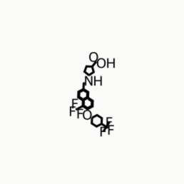 O=C(O)C1CCC(NCc2ccc3c(C(F)(F)F)c(OC4CCC(C(F)(F)F)CC4)ccc3c2)C1